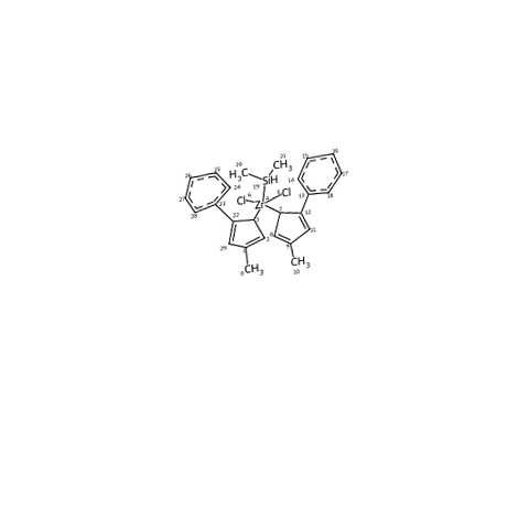 CC1=C[CH]([Zr]([Cl])([Cl])([CH]2C=C(C)C=C2c2ccccc2)[SiH](C)C)C(c2ccccc2)=C1